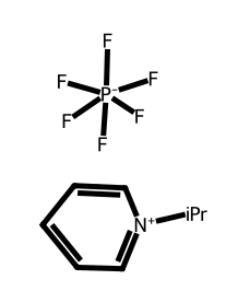 CC(C)[n+]1ccccc1.F[P-](F)(F)(F)(F)F